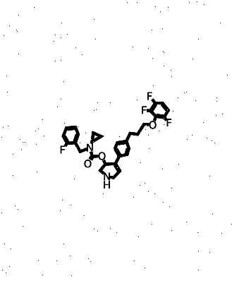 O=C(OC1CNCC=C1c1ccc(CCCOc2c(F)ccc(F)c2F)cc1)N(Cc1ccccc1F)C1CC1